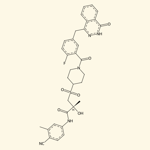 Cc1cc(NC(=O)[C@@](C)(O)CS(=O)(=O)C2CCN(C(=O)c3cc(Cc4n[nH]c(=O)c5ccccc45)ccc3F)CC2)ccc1C#N